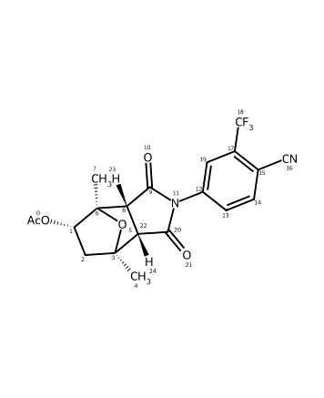 CC(=O)O[C@H]1C[C@@]2(C)O[C@]1(C)[C@@H]1C(=O)N(c3ccc(C#N)c(C(F)(F)F)c3)C(=O)[C@@H]12